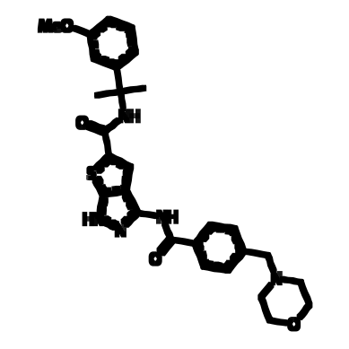 COc1cccc(C(C)(C)NC(=O)c2cc3c(NC(=O)c4ccc(CN5CCOCC5)cc4)n[nH]c3s2)c1